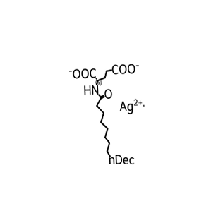 CCCCCCCCCCCCCCCCCC(=O)N[C@@H](CCC(=O)[O-])C(=O)[O-].[Ag+2]